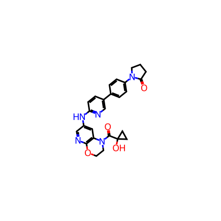 O=C1CCCN1c1ccc(-c2ccc(Nc3cnc4c(c3)N(C(=O)C3(O)CC3)CCO4)nc2)cc1